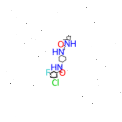 CC1(NC(=O)CN[C@H]2CC[C@@H](CNC(=O)c3cc(F)cc(Cl)c3)CC2)CCC1